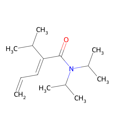 C=C/C=C(/C(=O)N(C(C)C)C(C)C)C(C)C